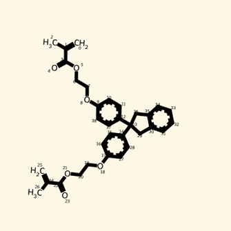 C=C(C)C(=O)OCCOc1ccc(C2(c3ccc(OCCOC(=O)C(=C)C)cc3)Cc3ccccc3C2)cc1